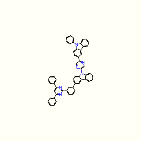 c1ccc(-c2cc(-c3ccccc3)nc(-c3cccc(-c4ccc5c(c4)c4ccccc4n5-c4cnc(-c5ccc6c(c5)c5ccccc5n6-c5ccccc5)cn4)c3)n2)cc1